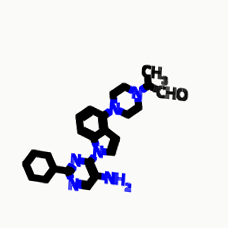 CC(C=O)N1CCN(c2cccc3c2ccn3-c2nc(C3CCCCC3)ncc2N)CC1